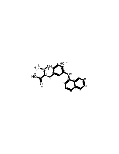 CN(C)[C@@H](Cc1cccc(Oc2cccc3ccccc23)c1)C(=O)O.Cl